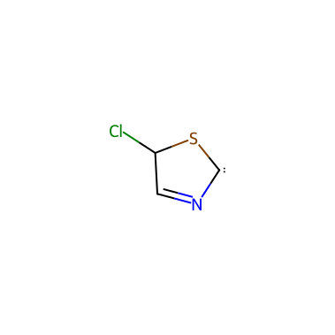 ClC1C=N[C]S1